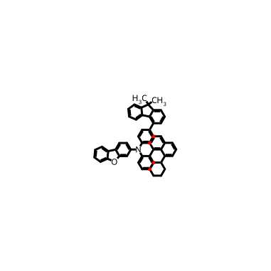 CC1(C)c2ccccc2-c2c(-c3ccc(N(c4ccc5c(c4)oc4ccccc45)c4ccccc4-c4cccc5cccc(C6CCCCC6)c45)cc3)cccc21